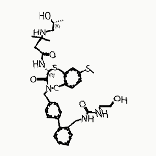 CSc1ccc2c(c1)S[C@@H](NC(=O)CC(C)(C)NC[C@@H](C)O)C(=O)N(Cc1ccc(-c3ccccc3CNC(=O)NCCO)cc1)C2